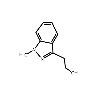 Cn1nc(CCO)c2ccccc21